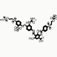 NC(=O)Nc1cc(N=Nc2c(O)cc(C(=O)O)c(N=Nc3ccc(S(=O)(=O)CCOS(=O)(=O)O)cc3)c2O)ccc1N=Nc1ccc(S(=O)(=O)CCOS(=O)(=O)O)cc1S(=O)(=O)O